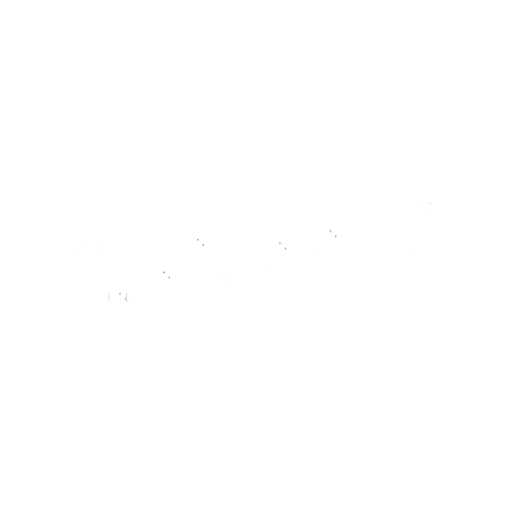 O=CC1CN(c2ncc(-c3cccc(Nc4cccc(C(F)(F)F)c4)n3)o2)CCN1